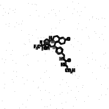 C[C@]12C[C@H](c3ccc(CNC(=O)NCC(=O)O)cc3)C3=C4CCC(=O)C=C4CC[C@H]3[C@@H]1CC[C@@]2(O)C(F)(F)C(F)(F)F